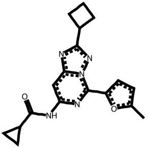 Cc1ccc(-c2nc(NC(=O)C3CC3)cc3nc(C4CCC4)nn23)o1